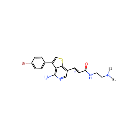 CCN(CC)CCNC(=O)/C=C/c1cnc(N)c2c(-c3ccc(Br)cc3)csc12